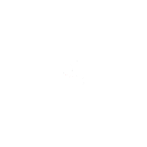 CCC1OC1CC.CO